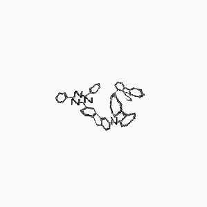 c1ccc(-c2nc(-c3ccccc3)nc(-c3ccc4c(c3)-c3cc(-n5c6ccccc6c6cc(-c7cccc8c7sc7ccccc78)ccc65)ccc3C4)n2)cc1